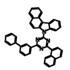 c1ccc(-c2cccc(-c3nc(-c4cccc5ccccc45)nc(-n4c5ccccc5c5c6ccccc6ccc54)n3)c2)cc1